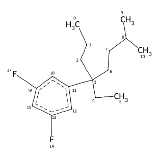 CCCC(CC)(CCC(C)C)c1cc(F)cc(F)c1